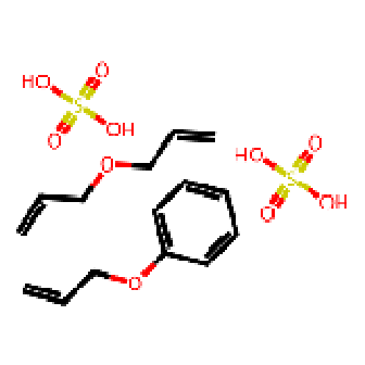 C=CCOCC=C.C=CCOc1ccccc1.O=S(=O)(O)O.O=S(=O)(O)O